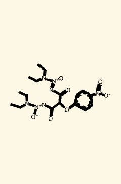 CCN(CC)[N+]([O-])=NC(=O)C(Oc1ccc([N+](=O)[O-])cc1)C(=O)N=[N+]([O-])N(CC)CC